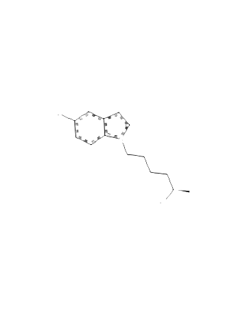 C[C@@H](O)CCCCn1ccc2cc(Br)ccc21